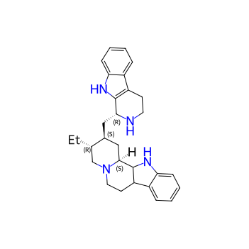 CC[C@H]1CN2CCC3c4ccccc4NC3[C@@H]2C[C@@H]1C[C@H]1NCCc2c1[nH]c1ccccc21